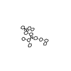 c1ccc(-c2cc(-c3ccccc3)cc(N(c3ccc(-c4ccc(-c5cccc6ccccc56)cc4)cc3)c3cccc(-c4cccc5c4c4c6ccccc6ccc4n5-c4ccccc4)c3)c2)cc1